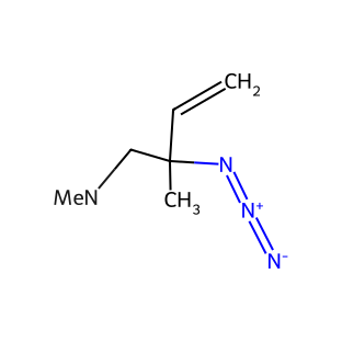 C=CC(C)(CNC)N=[N+]=[N-]